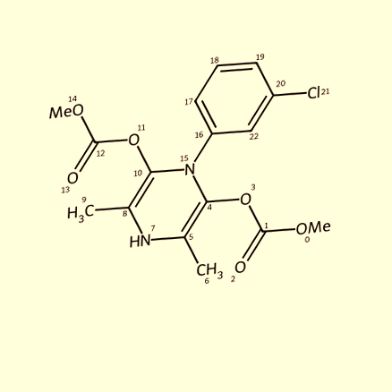 COC(=O)OC1=C(C)NC(C)=C(OC(=O)OC)N1c1cccc(Cl)c1